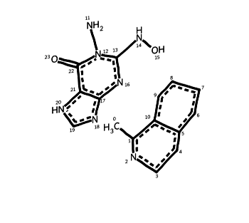 Cc1nccc2ccccc12.Nn1c(NO)nc2nc[nH]c2c1=O